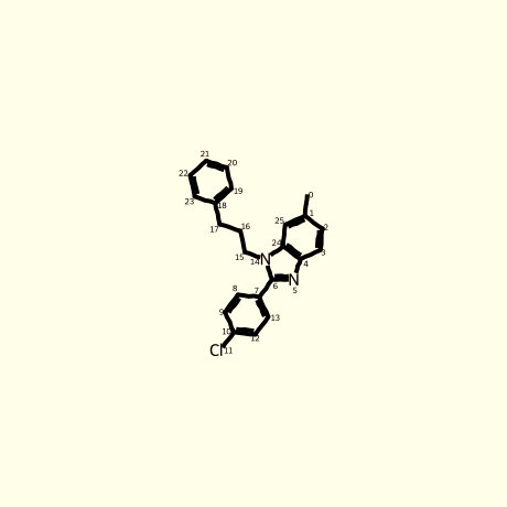 Cc1ccc2nc(-c3ccc(Cl)cc3)n(CCCc3ccccc3)c2c1